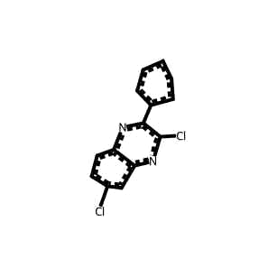 Clc1ccc2nc(-c3ccccc3)c(Cl)nc2c1